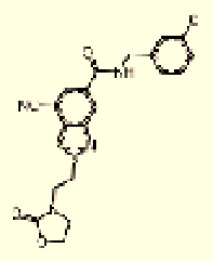 N#Cc1cc(C(=O)NCc2cccc(Cl)c2)cc2nn(CCN3CCOC3=O)cc12